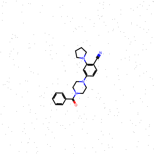 N#Cc1ccc(N2CCN(C(=O)c3ccccc3)CC2)cc1N1CCCC1